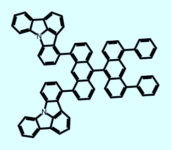 c1ccc(-c2cccc3c(-c4c5cccc(-c6cccc7c6c6cccc8c9ccccc9n7c86)c5cc5c(-c6cccc7c6c6cccc8c9ccccc9n7c86)cccc45)c4cccc(-c5ccccc5)c4cc23)cc1